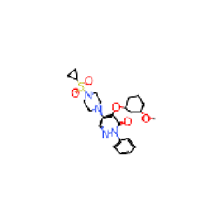 COC1CCCC(Oc2c(N3CCN(S(=O)(=O)C4CC4)CC3)cnn(-c3ccccc3)c2=O)C1